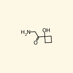 NCC(=O)C1(O)CCC1